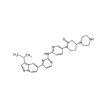 CC(C)c1cnn2ccc(-c3ccnc(Nc4ccc(N5CCC(N6CCNCC6)CC5=O)cn4)n3)cc12